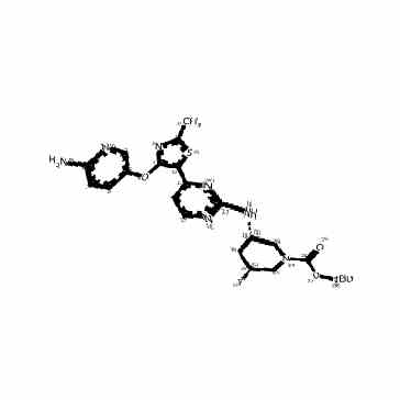 Cc1nc(Oc2ccc(N)nc2)c(-c2ccnc(N[C@H]3C[C@H](F)CN(C(=O)OC(C)(C)C)C3)n2)s1